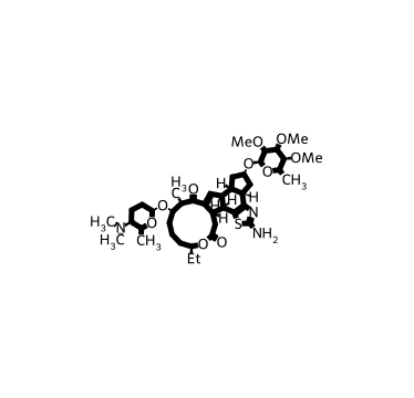 CC[C@H]1CCC[C@H](O[C@H]2CC[C@H](N(C)C)C(C)O2)[C@@H](C)C(=O)C2=C[C@H]3[C@@H]4C[C@H](O[C@@H]5OC(C)[C@H](OC)C(OC)C5OC)C[C@H]4c4nc(N)sc4[C@H]3[C@@H]2CC(=O)O1